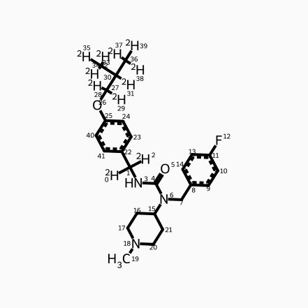 [2H]C([2H])(NC(=O)N(Cc1ccc(F)cc1)C1CCN(C)CC1)c1ccc(OC([2H])([2H])C([2H])(C([2H])([2H])[2H])C([2H])([2H])[2H])cc1